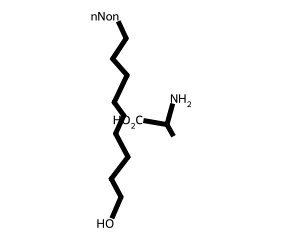 CC(N)C(=O)O.CCCCCCCCCCCCCCCCCCO